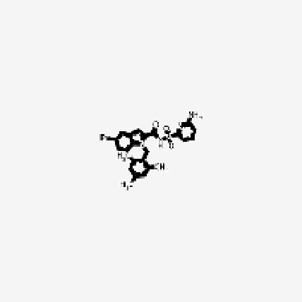 Cc1cc(C)c(Cn2c(C(=O)NS(=O)(=O)c3cccc(N)n3)cc3cc(C(C)C)ccc32)c(C)c1